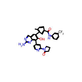 Cc1ccc(C(=O)Nc2cccc(C(F)(F)F)c2)cc1-c1cc2cnc(N)nc2c(-c2ccnc(N3CCCC3=O)c2)c1O